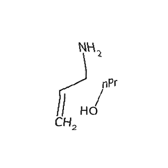 C=CCN.CCCO